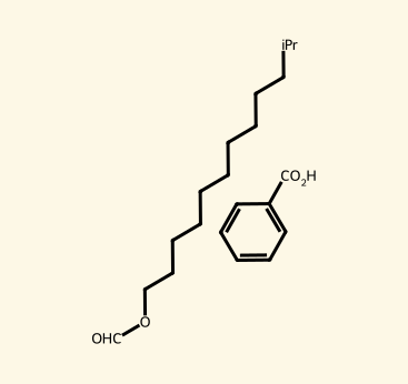 CC(C)CCCCCCCCCCOC=O.O=C(O)c1ccccc1